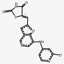 O=C1NC(=O)/C(=C/c2cc3cncc(Nc4ccnc(Cl)c4)c3o2)S1